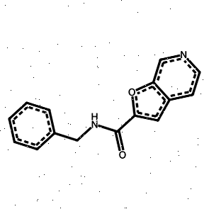 O=C(NCc1ccccc1)c1cc2ccncc2o1